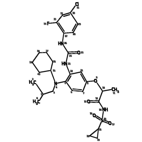 CC(C)CN(c1ccc(OC(C)C(=O)NS(=O)(=O)C2CC2)cc1NC(=O)Nc1ccc(Cl)cc1F)C1CCCCC1